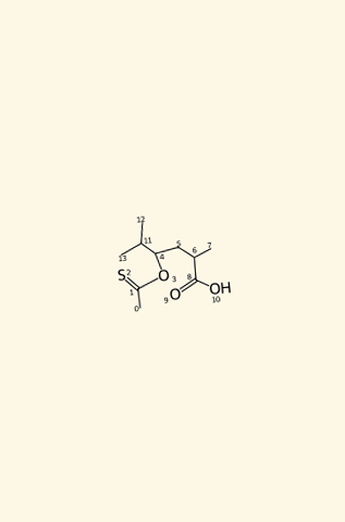 CC(=S)OC(CC(C)C(=O)O)C(C)C